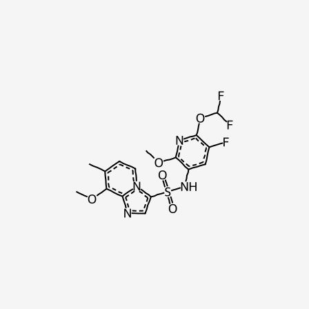 COc1nc(OC(F)F)c(F)cc1NS(=O)(=O)c1cnc2c(OC)c(C)ccn12